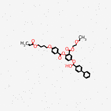 C=CC(=O)OCCCCOc1ccc(C(=O)Oc2ccc(OC(O)c3ccc(-c4ccccc4)cc3)cc2C(=O)OCCOCC)cc1